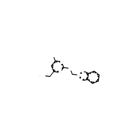 CCc1cc(O)nc(SCn2nc3ccccc3n2)n1